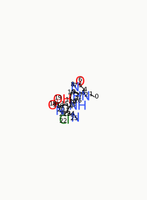 CCNc1cc(=O)n(C)c2ccc(Nc3cc(C(=O)O)nc(Cl)c3C#N)cc12